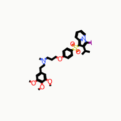 COc1cc(CCN(C)CCCOc2ccc(S(=O)(=O)c3c(C(C)C)c(I)n4ccccc34)cc2)cc(OC)c1OC